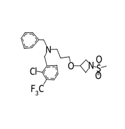 CS(=O)(=O)N1CC(OCCCN(Cc2ccccc2)Cc2cccc(C(F)(F)F)c2Cl)C1